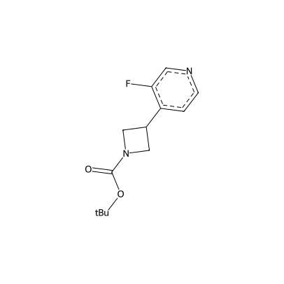 CC(C)(C)OC(=O)N1CC(c2ccncc2F)C1